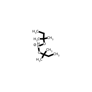 CCC(C)(C)O[PH](=O)OC(C)(C)CC